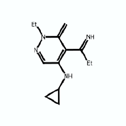 C=C1C(C(=N)CC)=C(NC2CC2)C=NN1CC